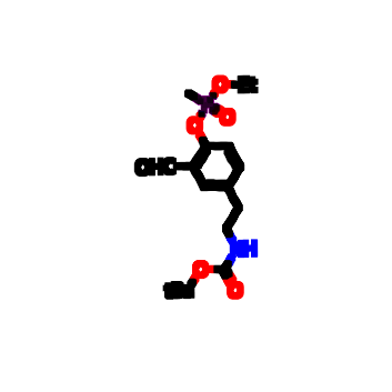 CCOP(C)(=O)Oc1ccc(CCNC(=O)OC(C)(C)C)cc1C=O